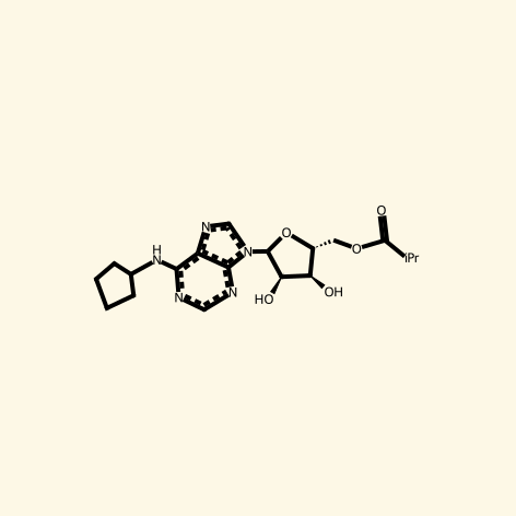 CC(C)C(=O)OC[C@H]1OC(n2cnc3c(NC4CCCC4)ncnc32)[C@H](O)[C@@H]1O